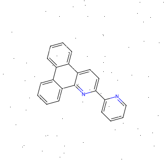 c1ccc(-c2ccc3c4ccccc4c4ccccc4c3n2)nc1